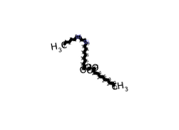 CCCCC/C=C\C/C=C\CCCCCCCC(=O)OOC(=O)CCCCCCCCC